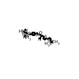 CN(C)c1ccc(-c2ccc(/C=C(\C#N)C(=O)NCc3ccc(COc4nc(N)nc5[nH]cnc45)cc3)s2)s1